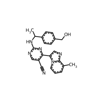 Cc1cccn2c(-c3nc(NC(C)c4ccc(CO)cc4)ncc3C#N)cnc12